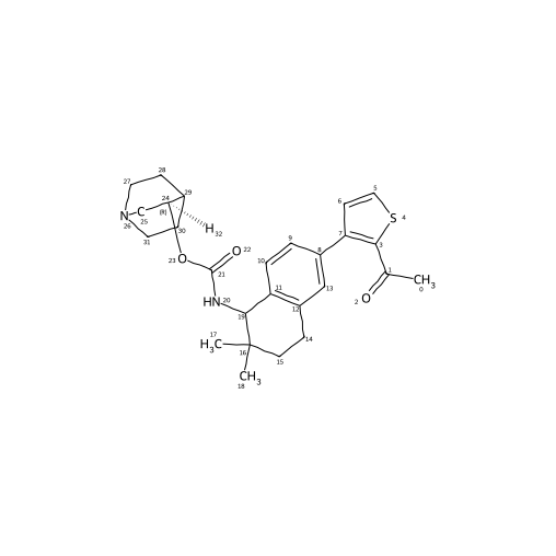 CC(=O)c1sccc1-c1ccc2c(c1)CCC(C)(C)C2NC(=O)O[C@H]1CN2CCC1CC2